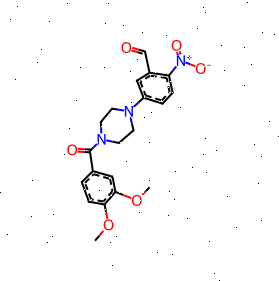 COc1ccc(C(=O)N2CCN(c3ccc([N+](=O)[O-])c(C=O)c3)CC2)cc1OC